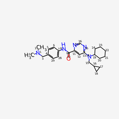 CN(C)Cc1ccc(NC(=O)c2cc(N(CC3CC3)C3CCCCC3)ncn2)cc1